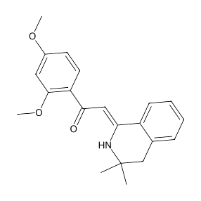 COc1ccc(C(=O)C=C2NC(C)(C)Cc3ccccc32)c(OC)c1